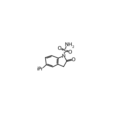 CC(C)c1ccc2c(c1)CC(=O)N2S(N)(=O)=O